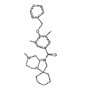 Cc1cc(C(=O)NCC2(N3CCN(C)CC3)CCCCC2)cc(C)c1OCc1ccccc1